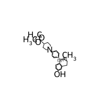 COC(OC)C1CCN(c2ccc([C@H]3c4ccc(O)cc4CC[C@H]3C)cc2)CC1